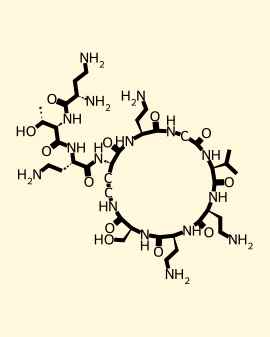 CC(C)[C@@H]1NC(=O)CNC(=O)[C@H](CCN)NC(=O)[C@@H](NC(=O)[C@H](CCN)NC(=O)[C@@H](NC(=O)[C@@H](N)CCN)[C@@H](C)O)CCNC(=O)[C@H](CO)NC(=O)[C@H](CCN)NC(=O)[C@H](CCN)NC1=O